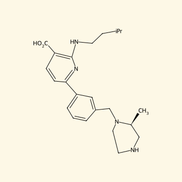 CC(C)CCNc1nc(-c2cccc(CN3CCNC[C@@H]3C)c2)ccc1C(=O)O